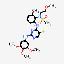 COCCN(c1c(C)cccc1Nc1nc(Nc2cc(OC)c(OC)c(OC)c2)ncc1F)S(C)(=O)=O